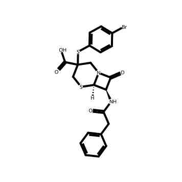 O=C(Cc1ccccc1)N[C@@H]1C(=O)N2CC(Sc3ccc(Br)cc3)(C(=O)O)CS[C@H]12